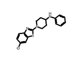 [O]c1ccc2nc(N3CCC(Nc4ccccc4)CC3)sc2c1